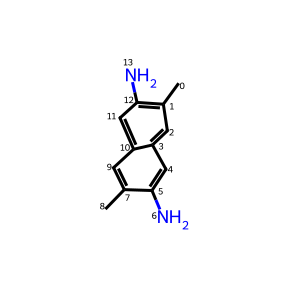 Cc1cc2cc(N)c(C)cc2cc1N